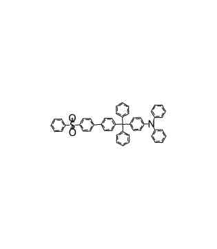 O=S(=O)(c1ccccc1)c1ccc(-c2ccc(C(c3ccccc3)(c3ccccc3)c3ccc(N(c4ccccc4)c4ccccc4)cc3)cc2)cc1